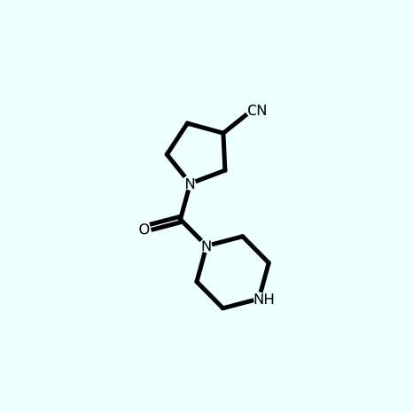 N#CC1CCN(C(=O)N2CCNCC2)C1